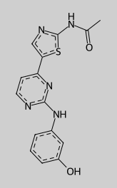 CC(=O)Nc1ncc(-c2ccnc(Nc3cccc(O)c3)n2)s1